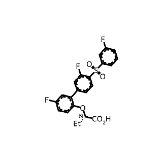 CC[C@H](Oc1ccc(F)cc1-c1ccc(S(=O)(=O)c2cccc(F)c2)c(F)c1)C(=O)O